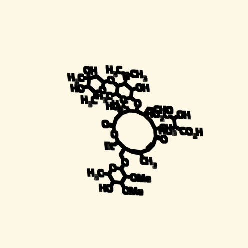 CCC1OC(=O)CC(O)C(C)C(OC2OC(C)C(OC3CC(C)(O)C(O)C(C)O3)C(N(C)C)C2O)C(CC=O)CC(C)C(=O)C=CC(C)=CC1COC1OC(C)C(O)C(OC)C1OC.O=C(O)C(O)C(O)C(=O)O